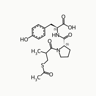 CC(=O)SCC(C)C(=O)N1CCC[C@H]1C(=O)N[C@@H](Cc1ccc(O)cc1)C(=O)O